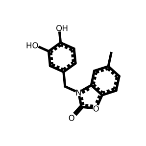 Cc1ccc2oc(=O)n(Cc3ccc(O)c(O)c3)c2c1